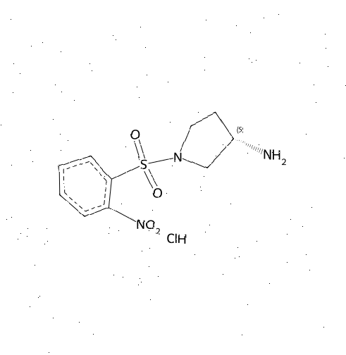 Cl.N[C@H]1CCN(S(=O)(=O)c2ccccc2[N+](=O)[O-])C1